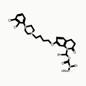 CCCCCCCCCN(CC)C(=O)OC(C(C)C)N1C(=O)CCc2ccc(OCCCCN3CCN(c4cccc(Cl)c4Cl)CC3)cc21